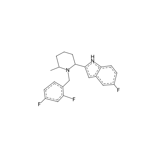 CC1CCCC(c2cc3cc(F)ccc3[nH]2)N1Cc1ccc(F)cc1F